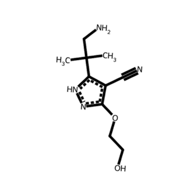 CC(C)(CN)c1[nH]nc(OCCO)c1C#N